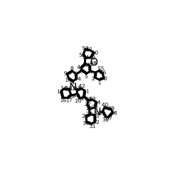 c1ccc(-c2cc(-c3cccc(-n4c5ccccc5c5cc(-c6ccc7c(c6)c6ccccc6n7-c6ccccc6)ccc54)c3)cc3c2oc2ccccc23)cc1